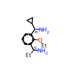 CCOc1c([C@@H](N)CC)cccc1[C@H](N)C1CC1